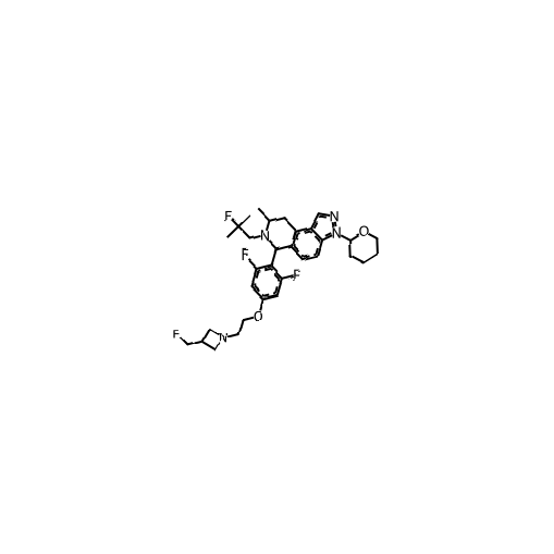 CC1Cc2c(ccc3c2cnn3C2CCCCO2)C(c2c(F)cc(OCCN3CC(CF)C3)cc2F)N1CC(C)(C)F